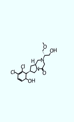 COC[C@H](CO)N1CC(=O)N2C[C@@H](C3C(Cl)=C(Cl)C=CC3O)C[C@H]2C1